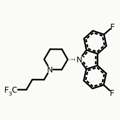 Fc1ccc2c(c1)c1cc(F)ccc1n2[C@H]1CCCN(CCCC(F)(F)F)C1